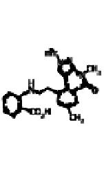 CCCn1cc2c3c(CCNc4ccccc4C(=O)O)cc(C)cc3c(=O)n(C)c2n1